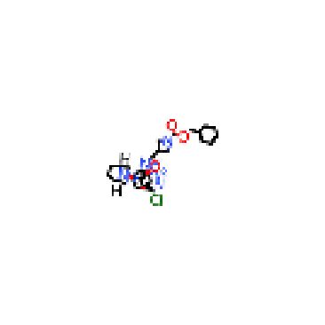 Nc1nnc(Cl)cc1N1C[C@H]2CC[C@@H](C1)N2c1cccc(OCC2CN(C(=O)OCc3ccccc3)C2)c1